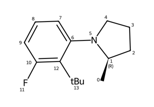 C[C@@H]1CCCN1c1cccc(F)c1C(C)(C)C